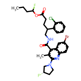 CCCC(F)OC(=O)CCC(CNC(=O)c1c(C)c(N2CC[C@H](F)C2)nc2ccc(Br)cc12)c1ccccc1Cl